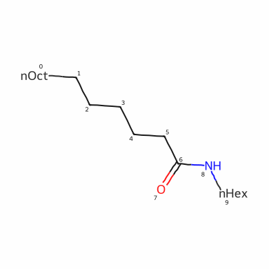 CCCCCCCCCCCCCC(=O)NCCCCCC